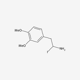 COc1ccc(CC(N)I)cc1OC